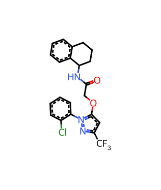 O=C(COc1cc(C(F)(F)F)nn1-c1ccccc1Cl)NC1CCCc2ccccc21